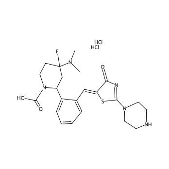 CN(C)C1(F)CCN(C(=O)O)C(c2ccccc2/C=C2\SC(N3CCNCC3)=NC2=O)C1.Cl.Cl